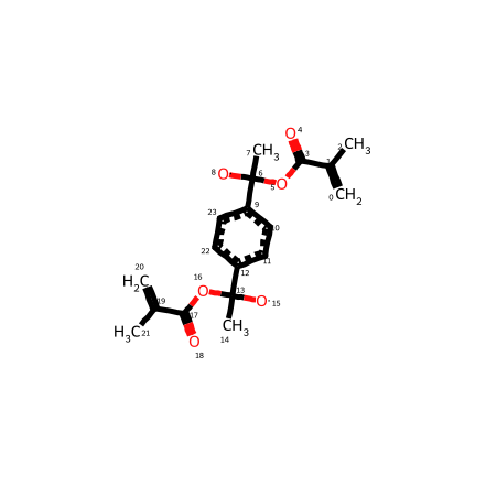 C=C(C)C(=O)OC(C)([O])c1ccc(C(C)([O])OC(=O)C(=C)C)cc1